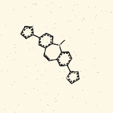 CB1c2ccc(-c3cccs3)cc2C=Cc2cc(-c3cccs3)ccc21